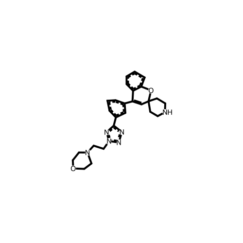 C1=C(c2cccc(-c3nnn(CCN4CCOCC4)n3)c2)c2ccccc2OC12CCNCC2